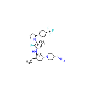 C/C=C(\C=C/C(C)N1CCC(CN)CC1)CN/C(CC)=C(\F)C(C)N1CCCC1c1ccc(C(F)(F)F)cc1